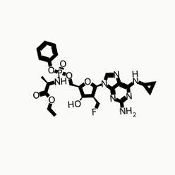 CCOC(=O)[C@@H](C)N[P@@](=O)(OC[C@H]1O[C@@H](n2cnc3c(NC4CC4)nc(N)nc32)[C@@H](CF)[C@@H]1O)Oc1ccccc1